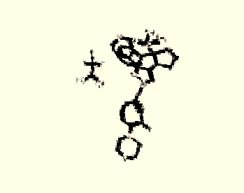 NS(=O)(=O)C1(c2ccccc2)CCCC1c1cn(-c2ccc(N3CCNCC3)c(F)c2)nc1-c1ccncc1.O=C(O)C(F)(F)F